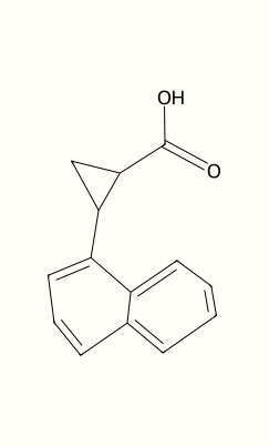 O=C(O)C1CC1c1cccc2ccccc12